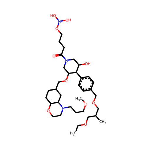 CCOCC(C)COCc1ccc(C2C(O)CN(C(=O)CCCON(O)O)CC2OCC2CCC3OCCN(CCCOC)C3C2)cc1